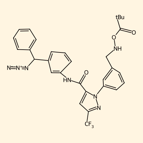 CC(C)(C)C(=O)ONCc1cccc(-n2nc(C(F)(F)F)cc2C(=O)Nc2cccc(C(N=[N+]=[N-])c3ccccc3)c2)c1